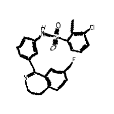 Cc1c(Cl)cccc1S(=O)(=O)Nc1cccc(C2=NCCc3ccc(F)cc32)c1